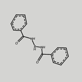 O=C(NBNC(=O)c1ccccc1)c1ccccc1